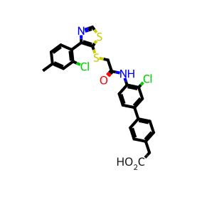 Cc1ccc(-c2ncsc2SCC(=O)Nc2ccc(-c3ccc(CC(=O)O)cc3)cc2Cl)c(Cl)c1